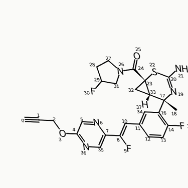 C#CCOc1cnc(/C(F)=C/c2ccc(F)c([C@@]3(C)N=C(N)S[C@@]4(C(=O)N5CCC(F)C5)C[C@H]43)c2)cn1